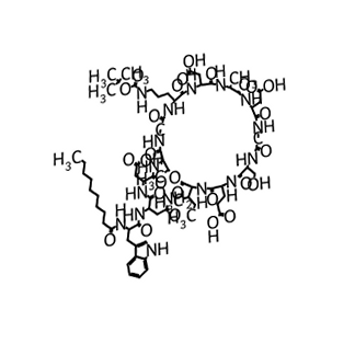 CCCCCCCCCC(=O)NC(Cc1c[nH]c2ccccc12)C(=O)NC(CC(N)=O)C(=O)NC(CC(=O)O)C(=O)NC1C(=O)NCC(=O)NC(CCCNC(=O)OC(C)(C)C)C(=O)NC(CC(=O)O)C(=O)NC(C)C(=O)NC(CC(=O)O)C(=O)NCC(=O)NC(CO)C(=O)NC(CCC(=O)O)C(=O)NC(C(C)CC)C(=O)OC1C